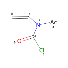 C=CN(C(C)=O)C(=O)Cl